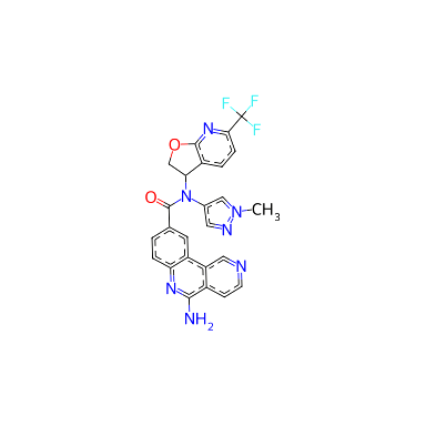 Cn1cc(N(C(=O)c2ccc3nc(N)c4ccncc4c3c2)C2COc3nc(C(F)(F)F)ccc32)cn1